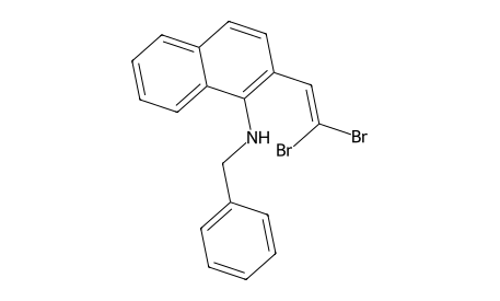 BrC(Br)=Cc1ccc2ccccc2c1NCc1ccccc1